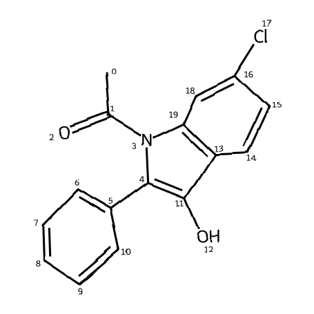 CC(=O)n1c(-c2ccccc2)c(O)c2ccc(Cl)cc21